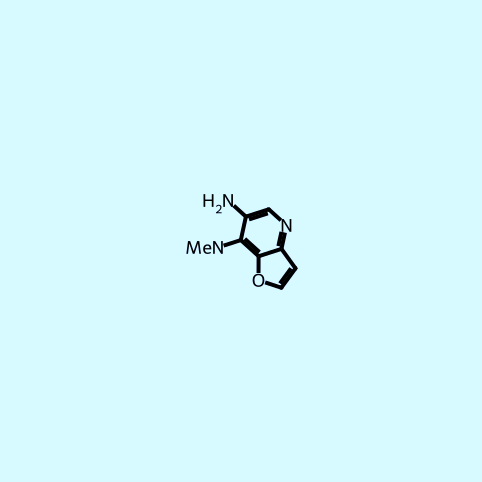 CNc1c(N)cnc2ccoc12